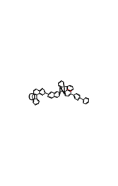 c1ccc(-c2ccc(-c3ccc(N(c4ccc5ccc(-c6ccc7ccc8oc9ccccc9c8c7c6)cc5c4)c4ccccc4-c4ccccc4)cc3)cc2)cc1